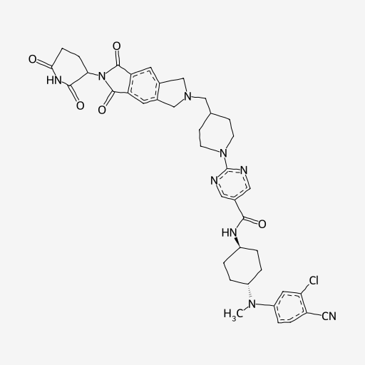 CN(c1ccc(C#N)c(Cl)c1)[C@H]1CC[C@H](NC(=O)c2cnc(N3CCC(CN4Cc5cc6c(cc5C4)C(=O)N(C4CCC(=O)NC4=O)C6=O)CC3)nc2)CC1